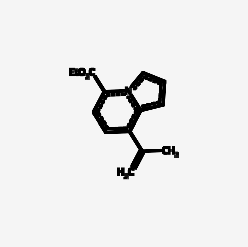 C=C(C)c1ccc(C(=O)OCC)n2cccc12